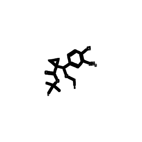 CC(C)(I)OC(=O)C1(C(OCI)c2ccc(Cl)c(N)c2)CC1